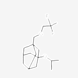 CC(C)OC12CC3CC(CC(COCC(C)(F)F)(C3)C1)C2